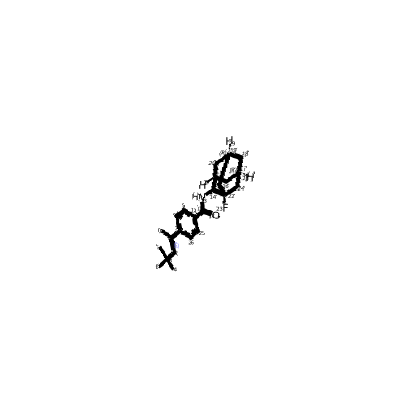 C/C(=C\C(C)(C)C)c1ccc(C(=O)NC2[C@H]3C[C@H]4C[C@H](C3)C[C@]2(F)C4)cc1